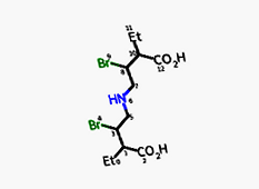 CCC(C(=O)O)C(Br)CNCC(Br)C(CC)C(=O)O